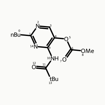 CCCCc1ncc(OC(=O)OC)c(NC(=O)C(C)(C)C)n1